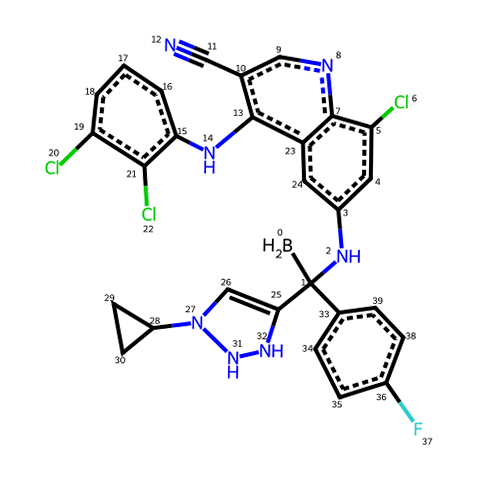 BC(Nc1cc(Cl)c2ncc(C#N)c(Nc3cccc(Cl)c3Cl)c2c1)(C1=CN(C2CC2)NN1)c1ccc(F)cc1